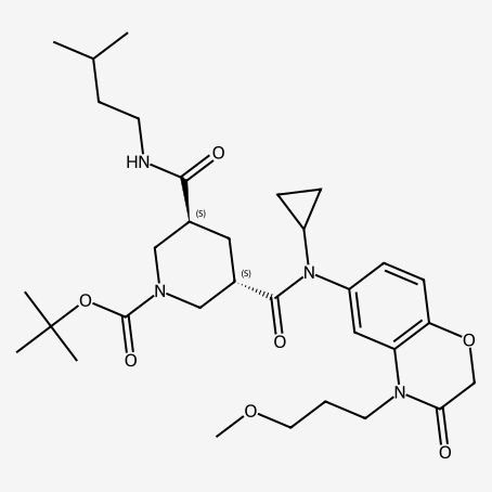 COCCCN1C(=O)COc2ccc(N(C(=O)[C@H]3C[C@H](C(=O)NCCC(C)C)CN(C(=O)OC(C)(C)C)C3)C3CC3)cc21